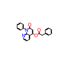 O=C(Cc1ccccc1)Oc1cc(=O)n(-c2ccccc2)c2ncccc12